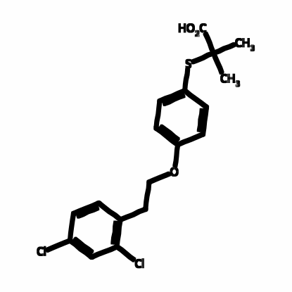 CC(C)(Sc1ccc(OCCc2ccc(Cl)cc2Cl)cc1)C(=O)O